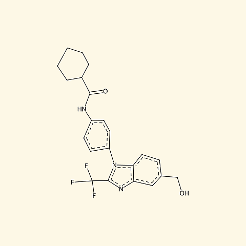 O=C(Nc1ccc(-n2c(C(F)(F)F)nc3cc(CO)ccc32)cc1)C1CCCCC1